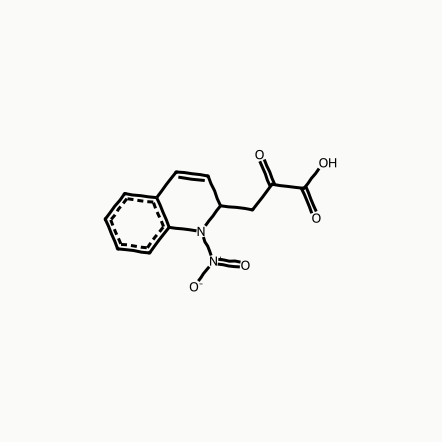 O=C(O)C(=O)CC1C=Cc2ccccc2N1[N+](=O)[O-]